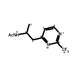 CC(=O)NC(C)Cc1ccnc(C(F)(F)F)n1